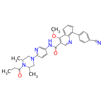 CCC(=O)N1C(C)CN(c2ccc(NC(=O)c3cnc4c(-c5ccc(C#N)cc5)cccc4c3OC)cn2)CC1C